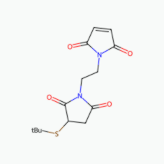 CC(C)(C)SC1CC(=O)N(CCN2C(=O)C=CC2=O)C1=O